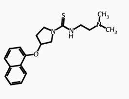 CN(C)CCNC(=S)N1CCC(Oc2cccc3ccccc23)C1